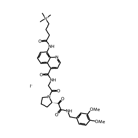 COc1ccc(CNC(=O)C(=O)[C@@H]2CCCN2C(=O)CNC(=O)c2ccnc3c(NC(=O)CCC[N+](C)(C)C)cccc23)cc1OC.[I-]